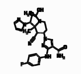 CCC(n1cccn1)C1(C)C(C#N)C(n2cc(C(N)=O)c(Nc3ccc(F)cc3)n2)CCN1C(=O)O